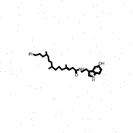 C/C(=C\CC(=O)NCCc1c[nH]c2ccc(O)cc12)CCCC(C)CCCC(C)CCCC(C)C